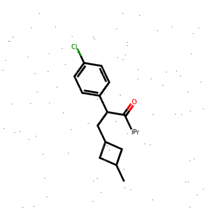 CC1CC(CC(C(=O)C(C)C)c2ccc(Cl)cc2)C1